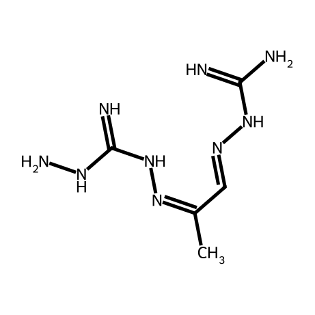 CC(C=NNC(=N)N)=NNC(=N)NN